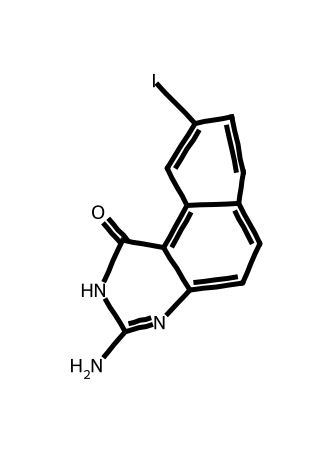 Nc1nc2ccc3ccc(I)cc3c2c(=O)[nH]1